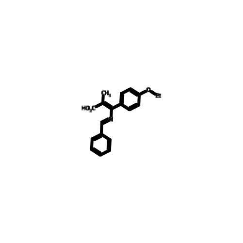 CCOc1ccc(C(N=Cc2ccccc2)=C(C)C(=O)O)cc1